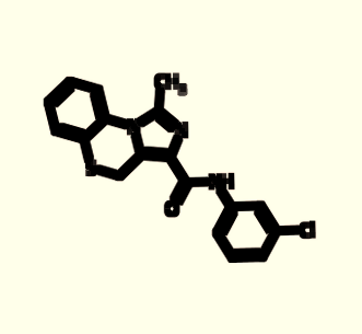 Cc1nc(C(=O)Nc2cccc(Cl)c2)c2n1-c1ccccc1SC2